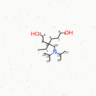 CCC(CCO)(CCCO)CN(C(C)C)C(C)C